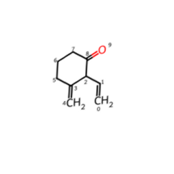 C=CC1C(=C)CCCC1=O